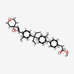 CCC(CC)(c1ccc(C=CC2(O)CCOCC2)c(C)c1)c1ccc(-c2ccc(CC(=O)OC)cc2)c(C)c1